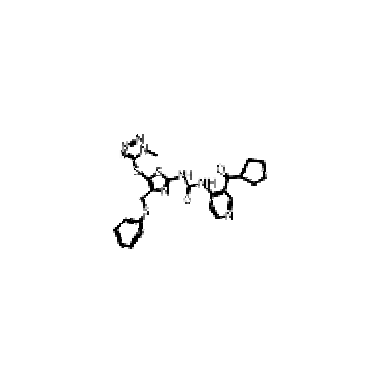 Cn1nnnc1Sc1sc(NC(=O)Nc2ccncc2C(=O)C2CCCC2)nc1CSc1ccccc1